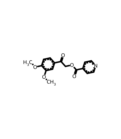 COc1ccc(C(=O)COC(=O)c2ccncc2)cc1OC